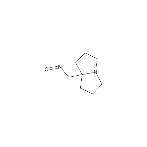 O=NCC12CCCN1CCC2